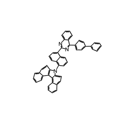 c1ccc(-c2ccc(-c3nc(-c4cccc5c(-n6c7ccc8ccccc8c7c7c8ccccc8ccc76)cccc45)nc4ccccc34)cc2)cc1